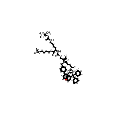 CCCCc1nc(Cl)c(COC(=O)NC(CCCCNC(=O)OC(C)(C)C)C(=O)OCCCCO[N+](=O)[O-])n1Cc1ccc(-c2ccccc2-c2nnnn2C(c2ccccc2)(c2ccccc2)c2ccccc2)cc1